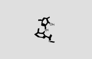 C/N=C(\C)c1cccc(C)c1Pc1cc(C)cc(C)c1O